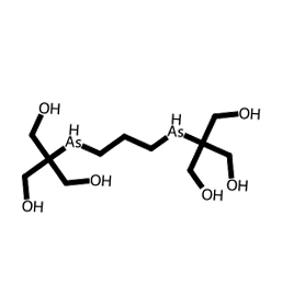 OCC(CO)(CO)[AsH]CCC[AsH]C(CO)(CO)CO